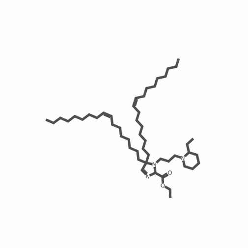 CCCCCCCC/C=C\CCCCCCCC1(CCCCCCC/C=C\CCCCCCCC)C=NC(C(=O)OCC)N1CCCN1CCCCC1CC